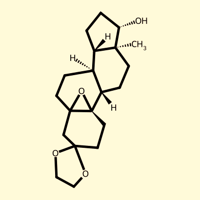 C[C@]12CC[C@H]3[C@@H](CCC45CC6(CC[C@@]34O5)OCCO6)[C@@H]1CC[C@@H]2O